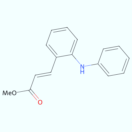 COC(=O)/C=C/c1ccccc1Nc1ccccc1